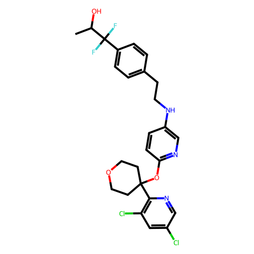 CC(O)C(F)(F)c1ccc(CCNc2ccc(OC3(c4ncc(Cl)cc4Cl)CCOCC3)nc2)cc1